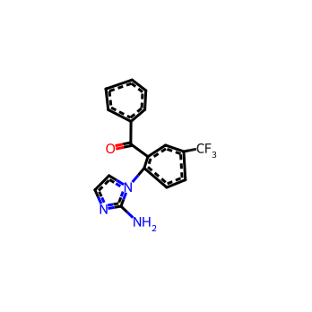 Nc1nccn1-c1ccc(C(F)(F)F)cc1C(=O)c1ccccc1